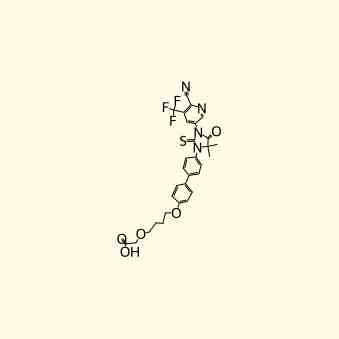 CC1(C)C(=O)N(c2cnc(C#N)c(C(F)(F)F)c2)C(=S)N1c1ccc(-c2ccc(OCCCCOCC(=O)O)cc2)cc1